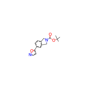 CC(C)(C)OC(=O)N1Cc2ccc(-c3ccno3)cc2C1